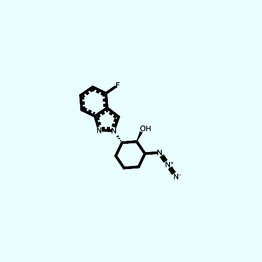 [N-]=[N+]=NC1CCC[C@H](n2cc3c(F)cccc3n2)[C@H]1O